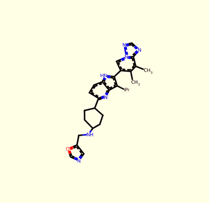 Cc1c(-c2[nH]c3ccc(C4CCC(NCc5cnco5)CC4)nc3c2C(C)C)cn2ncnc2c1C